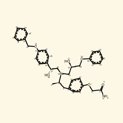 C[C@H](Cc1ccc(OCC(N)=O)cc1)N(C[C@@H](O)COc1ccccc1)C[C@H](O)c1ccc(OCc2ccccc2)cc1